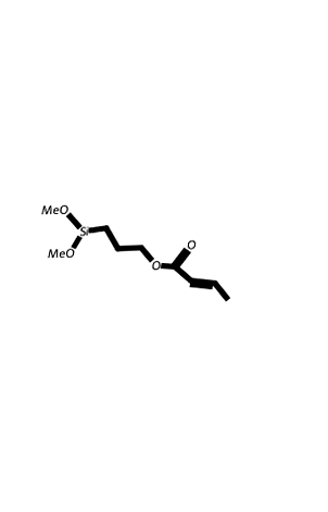 CC=CC(=O)OCCC[Si](OC)OC